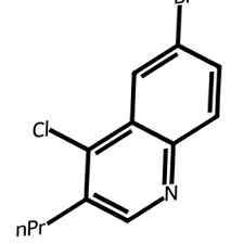 CCCc1cnc2ccc(Br)cc2c1Cl